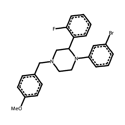 COc1ccc(CN2CCN(c3cccc(Br)c3)C(c3ccccc3F)C2)cc1